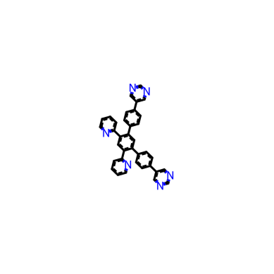 c1ccc(-c2cc(-c3ccccn3)c(-c3ccc(-c4cncnc4)cc3)cc2-c2ccc(-c3cncnc3)cc2)nc1